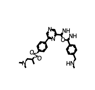 CNCc1ccc(C(=N)OC(=N)c2cncc(-c3ccc(S(=O)(=O)C(C)CN(C)C)cc3)n2)cc1